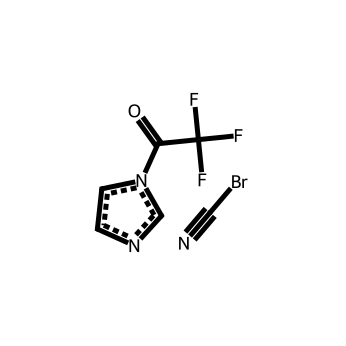 N#CBr.O=C(n1ccnc1)C(F)(F)F